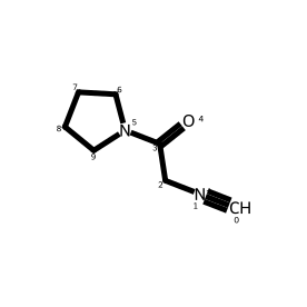 C#[N+]CC(=O)N1CCCC1